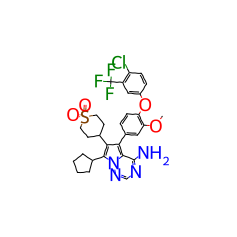 COc1cc(-c2c(C3CCS(=O)(=O)CC3)c(C3CCCC3)n3ncnc(N)c23)ccc1Oc1ccc(Cl)c(C(F)(F)F)c1